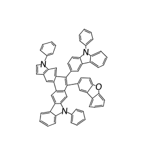 c1ccc(-n2ccc3cc4c(cc32)c(-c2ccc3c(c2)c2ccccc2n3-c2ccccc2)c(-c2ccc3oc5ccccc5c3c2)c2cc3c(cc24)c2ccccc2n3-c2ccccc2)cc1